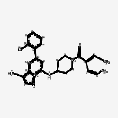 Bc1cnn2c(NC3CCN(C(=O)C(/C=C\C)=C/C)CC3)cc(-c3ccccc3Cl)nc12